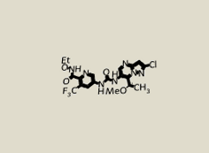 CCONC(=O)c1ncc(NC(=O)Nc2cnc3cc(Cl)nn3c2[C@H](C)OC)cc1C(F)(F)F